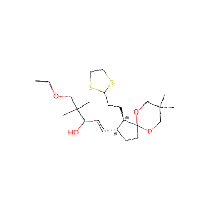 CCOCC(C)(C)C(O)C=C[C@H]1CCC2(OCC(C)(C)CO2)[C@@H]1CCC1SCCS1